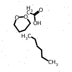 C1CCOOC1.CC(=O)O.CCCCCC